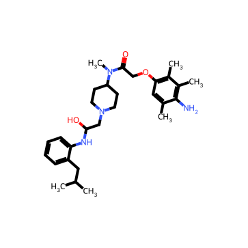 Cc1cc(OCC(=O)N(C)C2CCN(CC(O)Nc3ccccc3CC(C)C)CC2)c(C)c(C)c1N